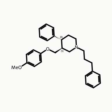 COc1ccc(OC[C@@H]2CN(CCCc3ccccc3)CC[C@H]2c2ccccc2)cc1